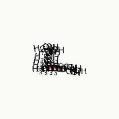 CC(=O)O.CC(=O)O.CC(=O)O.CC(=O)O.CC(=O)O.CC(=O)O.CC(=O)O.NN[C@H](CO)[C@H](O)[C@H](O)[C@H](O)CO.O=C(CO)[C@H](O)[C@H](O)[C@H](O)CO